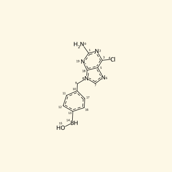 Nc1nc(Cl)c2ncn(Cc3ccc(BO)cc3)c2n1